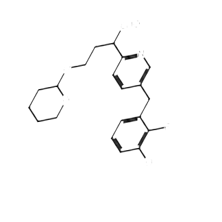 O=CC(CCOC1CCCCO1)c1ccc(Cc2cccc(Cl)c2F)cn1